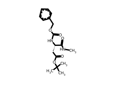 CNC(=O)[C@H](CC(=O)OC(C)(C)C)NC(=O)OCc1ccccc1